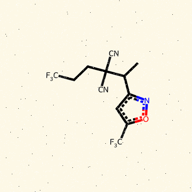 CC(c1cc(C(F)(F)F)on1)C(C#N)(C#N)CCC(F)(F)F